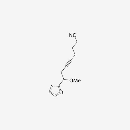 COC(CC#CCCCC#N)c1ccco1